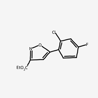 CCOC(=O)c1cc(-c2ccc(F)cc2Cl)on1